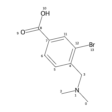 CN(C)Cc1ccc(C(=O)O)cc1Br